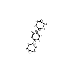 c1cc(N2CCOCC2)ccc1C1CCOCC1